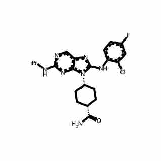 CC(C)Nc1ncc2nc(Nc3ccc(F)cc3Cl)n([C@H]3CC[C@@H](C(N)=O)CC3)c2n1